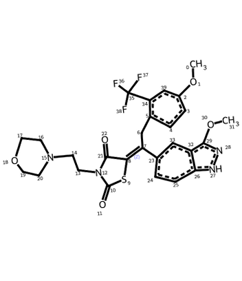 COc1ccc(C/C(=C2/SC(=O)N(CCN3CCOCC3)C2=O)c2ccc3[nH]nc(OC)c3c2)c(C(F)(F)F)c1